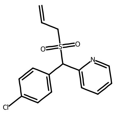 C=CCS(=O)(=O)C(c1ccc(Cl)cc1)c1ccccn1